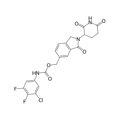 O=C1CCC(N2Cc3ccc(COC(=O)Nc4cc(F)c(F)c(Cl)c4)cc3C2=O)C(=O)N1